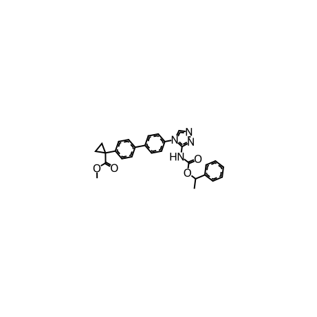 COC(=O)C1(c2ccc(-c3ccc(-n4cnnc4NC(=O)OC(C)c4ccccc4)cc3)cc2)CC1